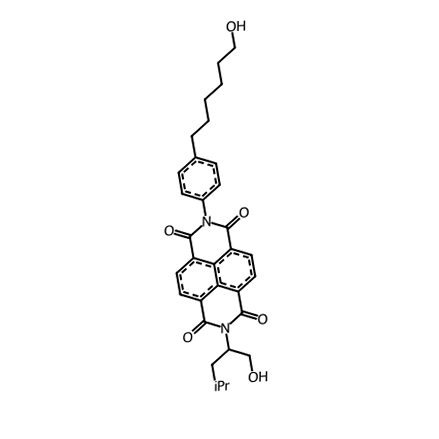 CC(C)CC(CO)N1C(=O)c2ccc3c4c(ccc(c24)C1=O)C(=O)N(c1ccc(CCCCCCO)cc1)C3=O